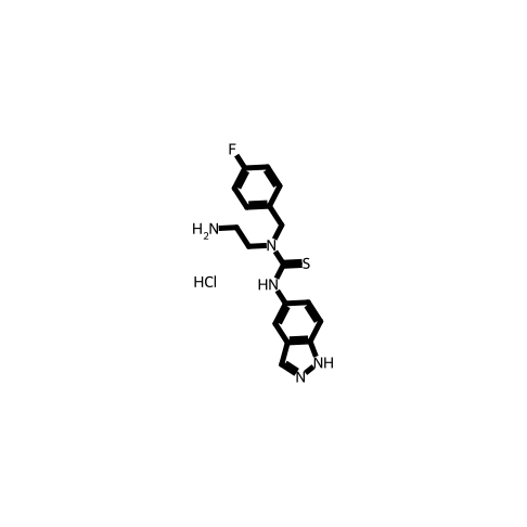 Cl.NCCN(Cc1ccc(F)cc1)C(=S)Nc1ccc2[nH]ncc2c1